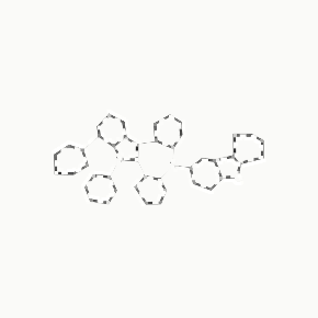 c1ccc(-c2cccc3c4c(n(-c5ccccc5)c23)-c2ccccc2N(c2ccc3oc5ccccc5c3c2)c2ccccc2-4)cc1